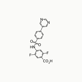 O=C(O)c1cc(F)c(NS(=O)(=O)c2ccc(-c3cncnc3)cc2)cc1F